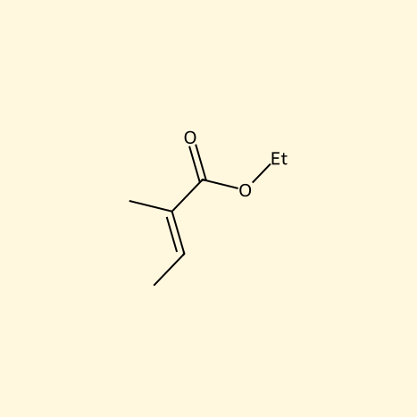 [CH2]COC(=O)C(C)=CC